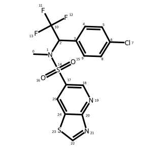 CN(C(c1ccc(Cl)cc1)C(F)(F)F)S(=O)(=O)c1cnc2ncsc2c1